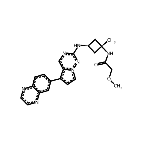 COCC(=O)N[C@]1(C)C[C@@H](Nc2ncc3c(-c4ccc5nccnc5c4)ccn3n2)C1